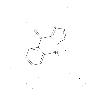 Nc1ccccc1C(=O)c1nccs1